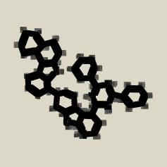 C1=CC(c2cccc3c2sc2ccc4ccccc4c23)Cc2oc3nccc(-c4nc(-c5ccccc5)nc(-c5ccccc5)n4)c3c21